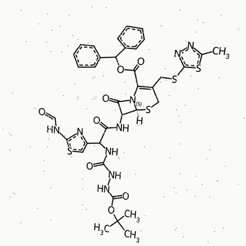 Cc1nnc(SCC2=C(C(=O)OC(c3ccccc3)c3ccccc3)N3C(=O)C(NC(=O)C(NC(=O)NNC(=O)OC(C)(C)C)c4csc(NC=O)n4)[C@@H]3SC2)s1